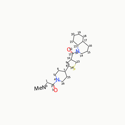 CNCC(=O)N1CCC(C2=CC(C(=O)N3CCCC4CCCCC43)CS2)CC1